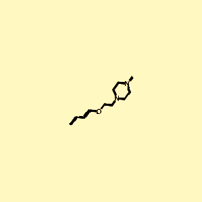 C=CC=COCCN1CCN(C)CC1